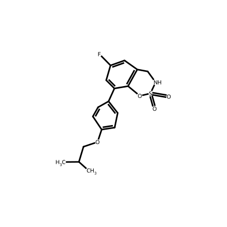 CC(C)COc1ccc(-c2cc(F)cc3c2OS(=O)(=O)NC3)cc1